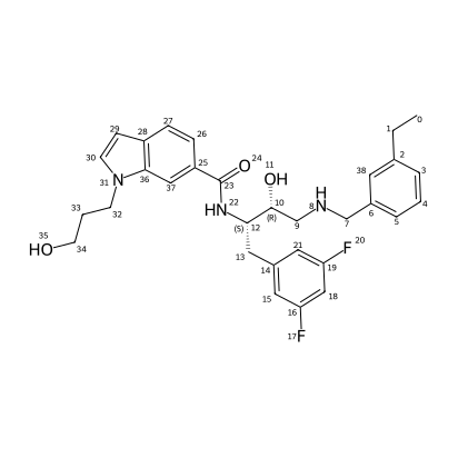 CCc1cccc(CNC[C@@H](O)[C@H](Cc2cc(F)cc(F)c2)NC(=O)c2ccc3ccn(CCCO)c3c2)c1